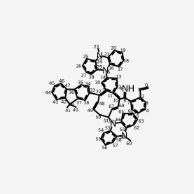 C=Cc1ccccc1C(=N)C1=c2\ccc(N3c4ccccc4N(C)c4ccccc43)c\c2=C(c2ccc3c(c2)C(C)(C)c2ccccc2-3)\C=C\CC(N2c3ccccc3N(C)c3ccccc32)\C=C\1